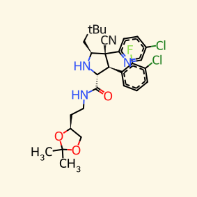 CC(C)(C)C[C@@H]1N[C@@H](C(=O)NCC[C@H]2COC(C)(C)O2)[C@H](c2cccc(Cl)c2F)[C@@]1(C#N)c1ccc(Cl)cn1